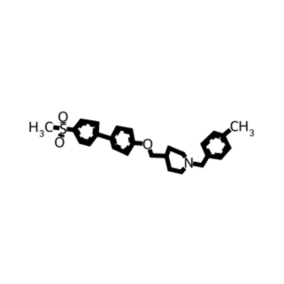 Cc1ccc(CN2CCC(COc3ccc(-c4ccc(S(C)(=O)=O)cc4)cc3)CC2)cc1